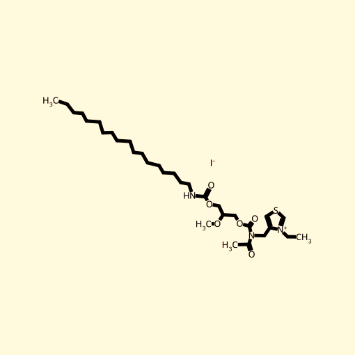 CCCCCCCCCCCCCCCCCCNC(=O)OCC(COC(=O)N(Cc1csc[n+]1CC)C(C)=O)OC.[I-]